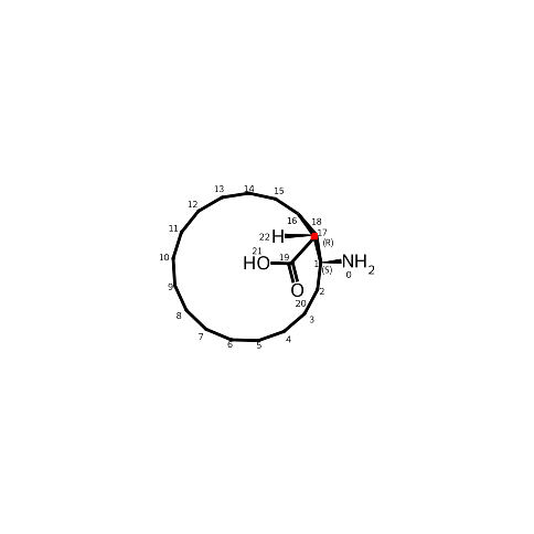 N[C@@]12CCCCCCCCCCCCCCC(C1)[C@H]2C(=O)O